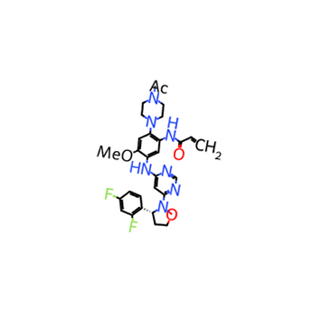 C=CC(=O)Nc1cc(Nc2cc(N3OCC[C@@H]3c3ccc(F)cc3F)ncn2)c(OC)cc1N1CCN(C(C)=O)CC1